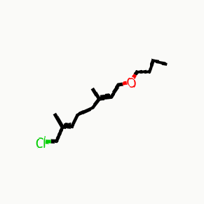 CCCCOC/C=C(\C)CC/C=C(\C)CCl